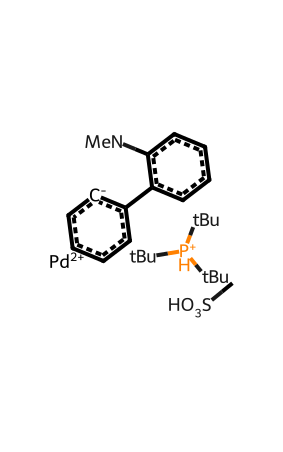 CC(C)(C)[PH+](C(C)(C)C)C(C)(C)C.CS(=O)(=O)O.C[N-]c1ccccc1-c1[c-]cccc1.[Pd+2]